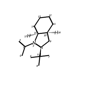 CC(C)N1[C@H](C(C)(C)C)C[C@@H]2CCCC[C@@H]21